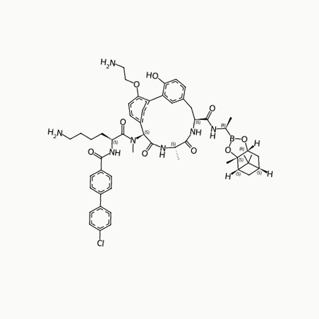 C[C@H](NC(=O)[C@@H]1Cc2ccc(O)c(c2)-c2cc(ccc2OCCN)[C@H](N(C)C(=O)[C@H](CCCCN)NC(=O)c2ccc(-c3ccc(Cl)cc3)cc2)C(=O)N[C@@H](C)C(=O)N1)B1O[C@@H]2C[C@@H]3C[C@@H](C3(C)C)[C@]2(C)O1